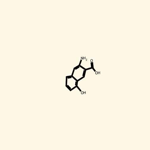 Nc1cc2cccc(O)c2cc1C(=O)O